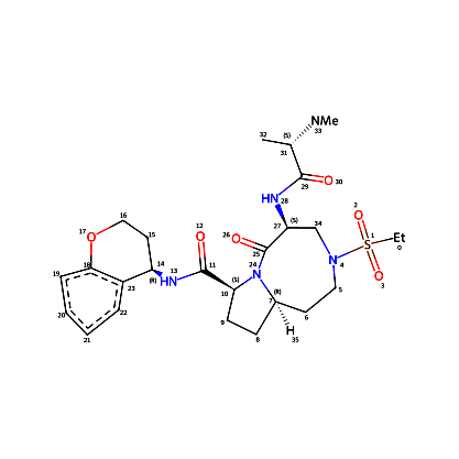 CCS(=O)(=O)N1CC[C@H]2CC[C@@H](C(=O)N[C@@H]3CCOc4ccccc43)N2C(=O)[C@@H](NC(=O)[C@H](C)NC)C1